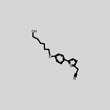 N#CCc1ccc(-c2ccc(OCCCCCCO)cc2)s1